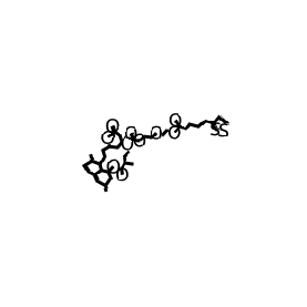 CCC(C)C(=O)OC1CC(C)C=C2C=CC(C)C(CCC3CC(OC(=O)OCCOCCOC(=O)CCCCC4CCSS4)CC(=O)O3)C21